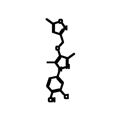 Cc1cc(COc2c(C)nn(-c3ccc(C#N)c(Cl)c3)c2C)no1